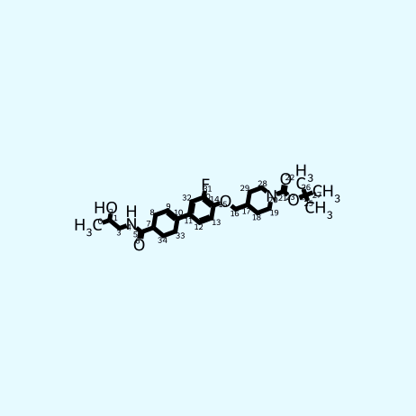 CC(O)CNC(=O)C1CC=C(c2ccc(OCC3CCN(C(=O)OC(C)(C)C)CC3)c(F)c2)CC1